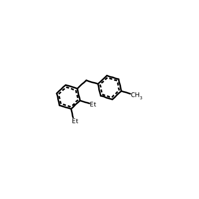 CCc1cccc(Cc2ccc(C)cc2)c1CC